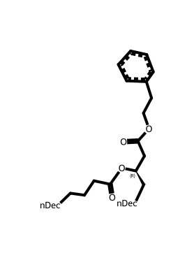 CCCCCCCCCCCCCC(=O)O[C@H](CCCCCCCCCCC)CC(=O)OCCc1ccccc1